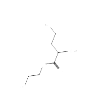 CCCCCCCCCCCCOC(=O)C(CCCCCCCCCC)CCCCCCCCCCCC